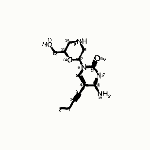 CCC#Cc1cn(C2CNCC(CO)O2)c(=O)nc1N